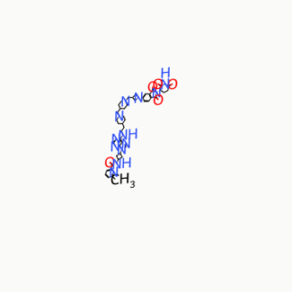 Cc1cccc(C(=O)NC2CC(n3cnc4c(NCCC5CCN(CC6CCN(CC7CN(c8ccc9c(c8)C(=O)N([C@H]8CCC(=O)NC8=O)C9=O)C7)CC6)CC5)ncnc43)C2)n1